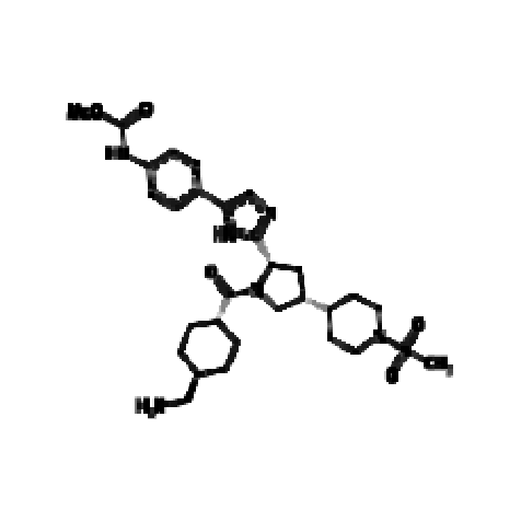 COC(=O)Nc1ccc(-c2cnc([C@@H]3C[C@H](C4CCN(S(C)(=O)=O)CC4)CN3C(=O)[C@H]3CC[C@H](CN)CC3)[nH]2)cc1